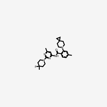 Cc1ccc(C(=O)Nc2cc(C)nc(N3CCC(C)(F)CC3)n2)c(N2CCC3(CC2)CC3)c1